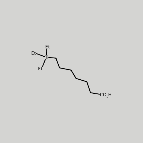 C[CH2][Ti]([CH2]C)([CH2]C)[CH2]CCCCCC(=O)O